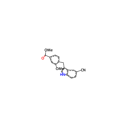 COC(=O)c1ccc(Cc2c[nH]c3ccc(C#N)cc23)c(OC)c1